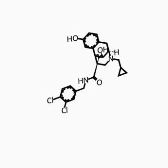 O=C(NCc1ccc(Cl)c(Cl)c1)[C@H]1C[C@]23CCN(CC4CC4)[C@H](Cc4ccc(O)cc42)[C@]3(O)C1